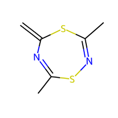 C=C1N=C(C)SN=C(C)S1